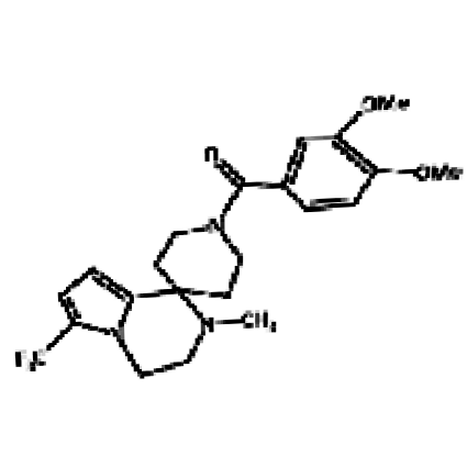 COc1ccc(C(=O)N2CCC3(CC2)c2ccc(C(F)(F)F)n2CCN3C)cc1OC